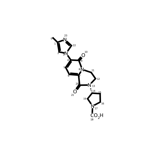 Cc1cn(-c2ccc3n(c2=O)CCN([C@@H]2CCN(C(=O)O)C2)C3=O)cn1